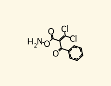 NOC(=O)C(C(=O)c1ccccc1)=C(Cl)Cl